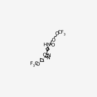 O=C(COCCOC(F)(F)F)NC12CC(c3nnc([C@H]4C[C@@H](OC(F)(F)F)C4)o3)(C1)C2